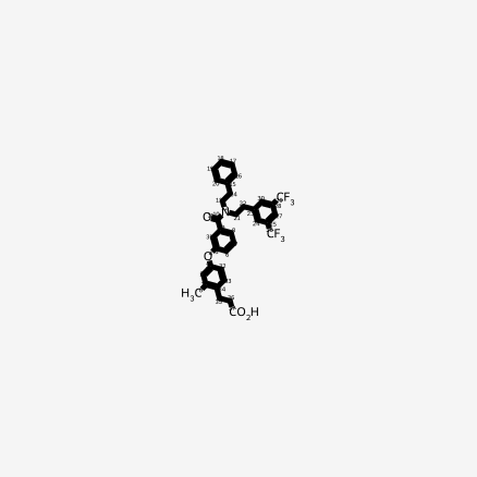 Cc1cc(Oc2cccc(C(=O)N(CCc3ccccc3)CCc3cc(C(F)(F)F)cc(C(F)(F)F)c3)c2)ccc1CCC(=O)O